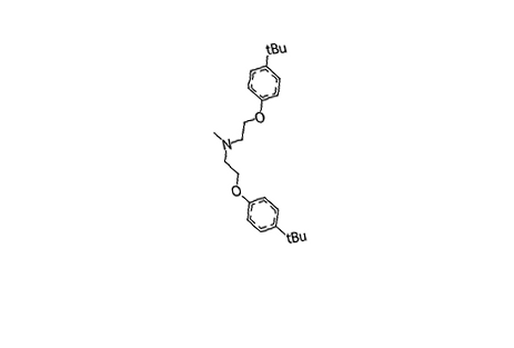 CN(CCOc1ccc(C(C)(C)C)cc1)CCOc1ccc(C(C)(C)C)cc1